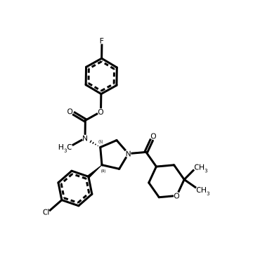 CN(C(=O)Oc1ccc(F)cc1)[C@@H]1CN(C(=O)C2CCOC(C)(C)C2)C[C@H]1c1ccc(Cl)cc1